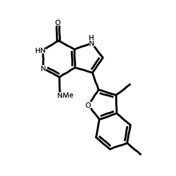 CNc1n[nH]c(=O)c2[nH]cc(-c3oc4ccc(C)cc4c3C)c12